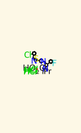 CC(C)[C@H](C(=O)O)N(C)C1CC(CN2CCC(c3cnc(Cc4ccccc4Cl)s3)CC2)C(c2cccc(F)c2)C1.Cl.Cl.Cl